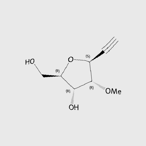 C#C[C@@H]1O[C@H](CO)[C@@H](O)[C@H]1OC